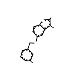 Cc1oc2ccc(OCc3cccc(C(F)(F)F)c3)cc2c1C(=O)O